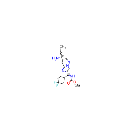 C=CC[C@@H](N)c1cnn2cc([C@@H](NC(=O)OC(C)(C)C)C3CCC(F)(F)CC3)nc2c1